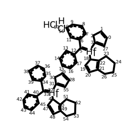 C1=CC[C]([Hf](=[C](c2ccccc2)c2ccccc2)[CH]2C=CC3=C2CCCC3)=C1.C1=CC[C]([Hf](=[C](c2ccccc2)c2ccccc2)[CH]2C=CC3=C2CCCC3)=C1.Cl.Cl